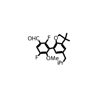 COc1c(F)cc(C=O)c(F)c1-c1cc(CC(C)C)cc2c1OCC2(C)C